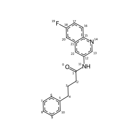 O=C([CH]CCc1ccccc1)Nc1cnc2ccc(F)cc2c1